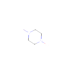 ON1CCN(I)CC1